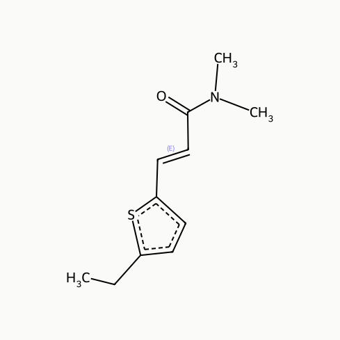 CCc1ccc(/C=C/C(=O)N(C)C)s1